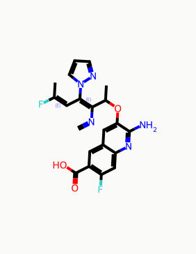 C=N/C(=C(\C=C(/C)F)n1cccn1)C(C)Oc1cc2cc(C(=O)O)c(F)cc2nc1N